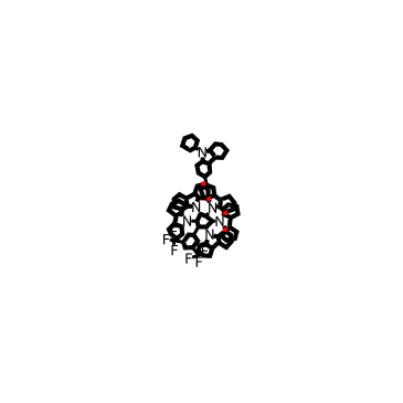 FC(F)(F)c1cc(-c2c(-n3c4ccccc4c4ccccc43)c(-n3c4ccccc4c4ccccc43)c(-n3c4ccccc4c4cc(-c5ccc6c(c5)c5ccccc5n6-c5ccccc5)ccc43)c(-n3c4ccccc4c4ccccc43)c2-n2c3ccccc3c3ccccc32)cc(C(F)(F)F)c1